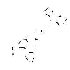 O=C(N[C@@H](Cc1ccc(OS(=O)(=O)C(F)(F)F)cc1)C(=O)OCc1ccccc1)OCC1c2ccccc2-c2ccccc21